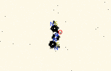 O=C(c1ccc2ncsc2c1)N1CCN(c2cccc3ncsc23)CC1